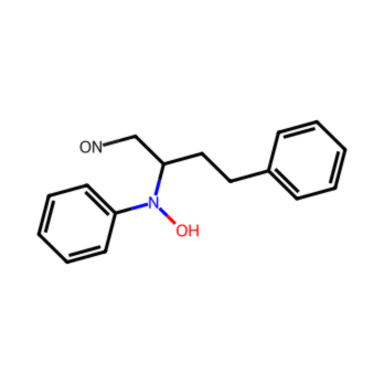 O=NCC(CCc1ccccc1)N(O)c1ccccc1